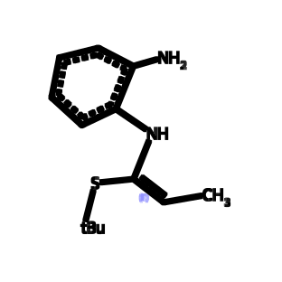 C/C=C(\Nc1ccccc1N)SC(C)(C)C